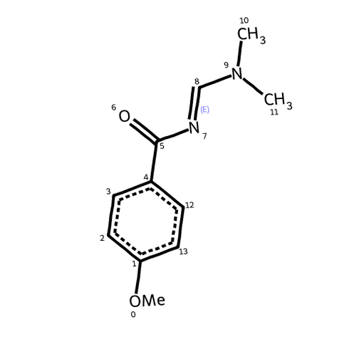 COc1ccc(C(=O)/N=C/N(C)C)cc1